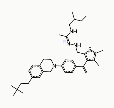 C=C(c1ccc(N2CCc3ccc(CCC(C)(C)C)cc3C2)cc1)c1c(CN/N=C(/C)NCC(C)CC)sc(C)c1C